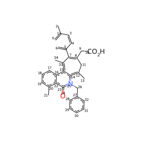 C=C(C)/C=C\C(=C)C1=C(CC(=O)O)CC(C)=c2c(c3cccc(C)c3c(=O)n2Cc2ccccc2)=C1C